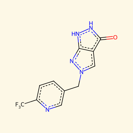 O=c1[nH][nH]c2nn(Cc3ccc(C(F)(F)F)nc3)cc12